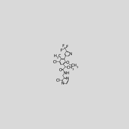 CCOc1c(C(C)C(=O)NCc2nccnc2Cl)cc(Cl)c(C)c1-c1cncc(C(F)(F)F)c1